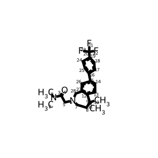 CN(C)C(=O)CN1CCC(C)(C)c2ccc(-c3ccc(C(F)(F)F)cc3)cc2C1